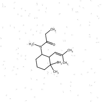 BC1(C)CCCC(N(C)C(=O)CC)C1C=C(C)C